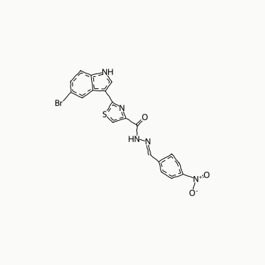 O=C(NN=Cc1ccc([N+](=O)[O-])cc1)c1csc(-c2c[nH]c3ccc(Br)cc23)n1